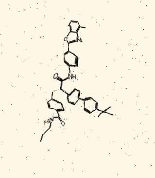 CCCNC(=O)c1ccc(C[C@H](C(=O)Nc2ccc(-c3nc4c(C)cccc4o3)cc2)c2ccc(-c3ccc(C(C)(C)C)cc3)cc2)cc1